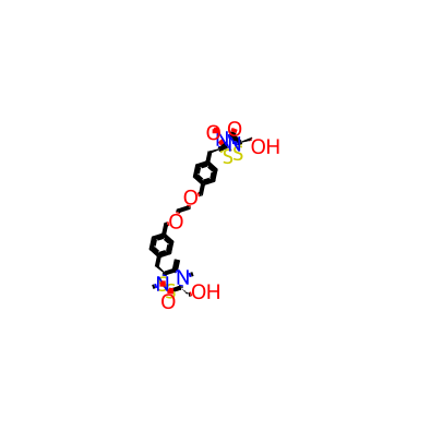 C=C1N(C)[C@@]2(CO)SS[C@]1(Cc1ccc(COCCOCc3ccc(C[C@@]45SS[C@@](CO)(C(=O)N4C)N(C)C5=O)cc3)cc1)N(C)C2=O